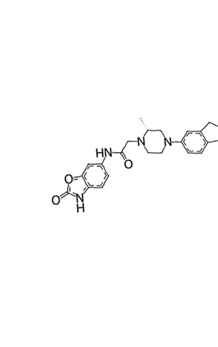 C[C@@H]1CN(c2ccc3c(c2)CCC3)CCN1CC(=O)Nc1ccc2[nH]c(=O)oc2c1